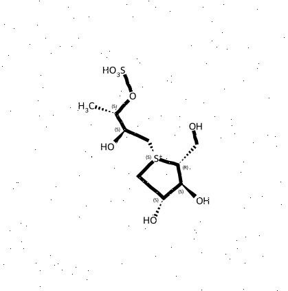 C[C@H](OS(=O)(=O)O)[C@H](O)C[S@@+]1C[C@@H](O)[C@H](O)[C@H]1CO